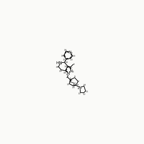 Cc1nn(CC23CCC(N4CCCC4)(CC2)CC3)c2c1C(c1ccncc1)NCC2